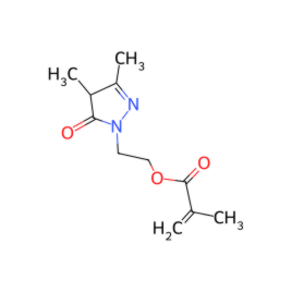 C=C(C)C(=O)OCCN1N=C(C)C(C)C1=O